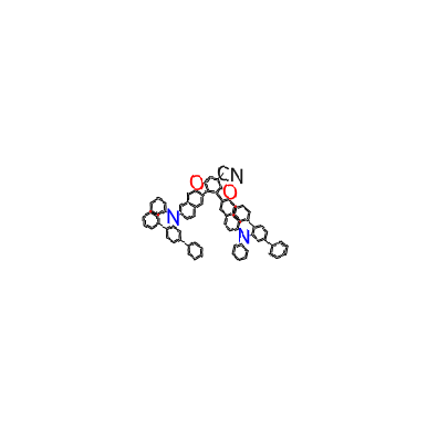 N#Cc1cc2oc3cc4cc(N(c5ccccc5)c5cc(-c6ccccc6)ccc5-c5ccccc5)ccc4cc3c2c2c1oc1cc3cc(N(c4ccccc4)c4cc(-c5ccccc5)ccc4-c4ccccc4)ccc3cc12